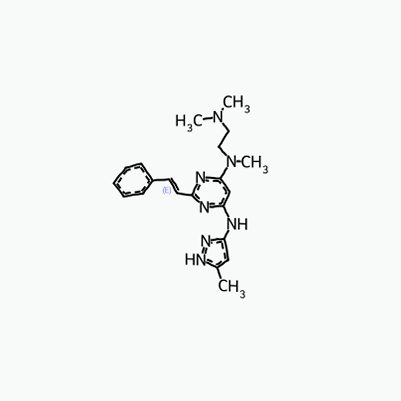 Cc1cc(Nc2cc(N(C)CCN(C)C)nc(/C=C/c3ccccc3)n2)n[nH]1